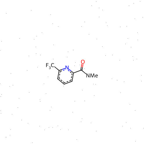 CNC(=O)c1cccc(C(F)(F)F)n1